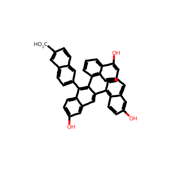 O=C(O)c1ccc2cc(-c3c(-c4cccc5c(O)cccc45)c(-c4cccc5cc(O)ccc45)[c]c4cc(O)ccc34)ccc2c1